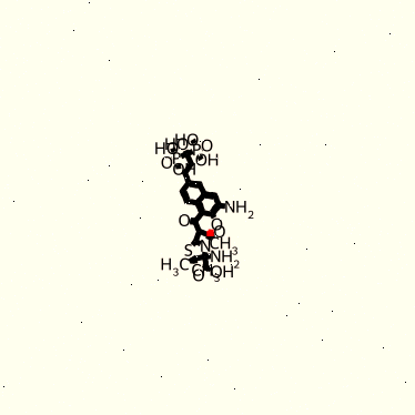 CCOc1c(N)cc2cc(CCC(O)(P(=O)(O)O)P(=O)(O)O)ccc2c1C(=O)C1C(=O)N2C1SC(C)(C)C2(N)C(=O)O